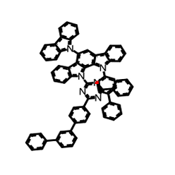 c1ccc(-c2ccc(-n3c4ccccc4c4cc(-n5c6ccccc6c6ccccc65)c5c6ccccc6n(-c6nc(-c7ccccc7)nc(-c7ccc(-c8cccc(-c9ccccc9)c8)cc7)n6)c5c43)cc2)cc1